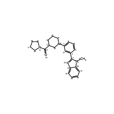 Cn1c(-c2cccc(N3CCCC(C(=O)N4CCCC4)C3)c2)nc2ccccc21